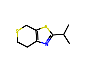 CC(C)c1nc2c(s1)CSCC2